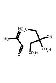 O=C(O)CC(O)(CC(=O)O)C(=O)O.O=CC(=O)O